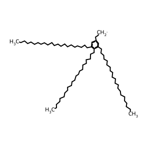 [CH2]CCc1cc(CCCCCCCCCCCCCCCCCCCCCC)c(CCCCCCCCCCCCCCCCCCCCCC)c(CCCCCCCCCCCCCCCCCCCCCC)c1